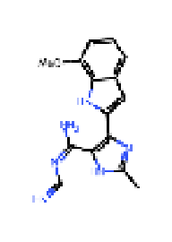 COc1cccc2cc(-c3nc(C)[nH]c3/C(N)=N\C=N)[nH]c12